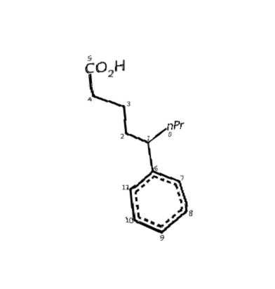 CCCC(CCCC(=O)O)c1ccccc1